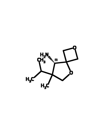 CC(C)C1(C)COC2(COC2)[C@H]1N